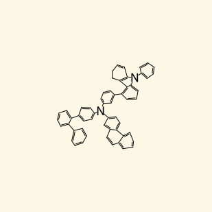 C1=Cc2c(c3c(-c4cccc(N(c5ccc(-c6ccccc6-c6ccccc6)cc5)c5ccc6c(ccc7ccccc76)c5)c4)cccc3n2-c2ccccc2)CC1